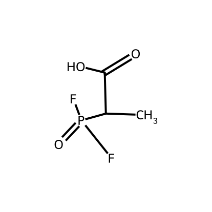 CC(C(=O)O)P(=O)(F)F